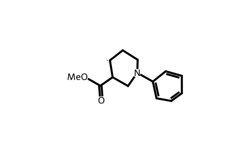 COC(=O)C1[CH]CCN(c2ccccc2)C1